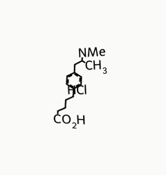 CNC(C)Cc1ccc(CCCCC(=O)O)cc1.Cl